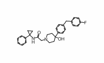 O=C(CN1CCC(O)(c2ccc(Cc3ccc(F)cc3)cc2)CC1)NC1(c2ccccc2)CC1